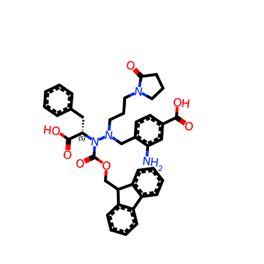 Nc1cc(C(=O)O)ccc1CN(CCCN1CCCC1=O)N(C(=O)OCC1c2ccccc2-c2ccccc21)[C@@H](Cc1ccccc1)C(=O)O